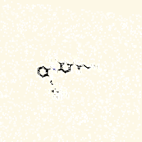 CP(=O)(O)OCOc1ccccc1/N=N/c1ccc(NC(=O)CCN)nc1N